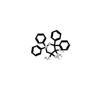 CC1(C)C[Si](c2ccccc2)(c2ccccc2)OC(c2ccccc2)(c2ccccc2)C1(C)C